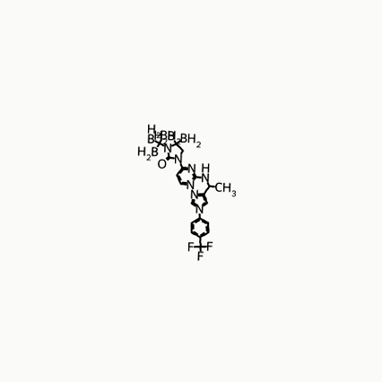 BC(B)(B)N1C(=O)N(c2ccnc(NC(C)c3cn(-c4ccc(C(F)(F)F)cc4)cn3)n2)CC1(B)B